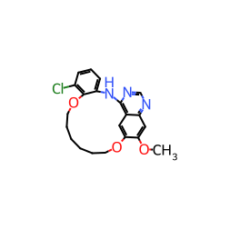 COc1cc2ncnc3c2cc1OCCCCCCOc1c(Cl)cccc1N3